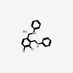 Clc1ccc(CPc2ccccc2)c(CPc2ccccc2)c1Cl.[Pd]